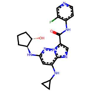 O=C(Nc1ccncc1F)c1cnc2c(NC3CC3)cc(N[C@H]3CCC[C@@H]3O)nn12